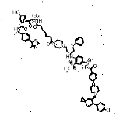 Cc1ncsc1-c1ccc([C@H](C)NC(=O)[C@@H]2C[C@@H](O)CN2C(=O)[C@@H](NC(=O)CCCCCC(=O)N2CCN(CC[C@H](CSc3ccccc3)Nc3ccc([S+]([O-])NC(=O)c4ccc(N5CCN(CC6=C(c7ccc(Cl)cc7)CCC7(CC7)C6)CC5)cc4)cc3S(=O)(=O)C(F)(F)F)CC2)C(C)(C)C)cc1